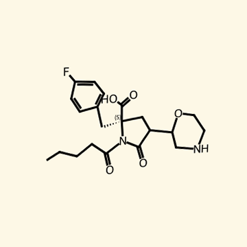 CCCCC(=O)N1C(=O)C(C2CNCCO2)C[C@]1(Cc1ccc(F)cc1)C(=O)O